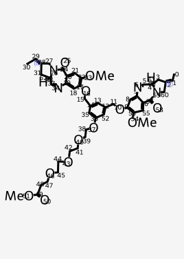 C/C=C1\C[C@H]2C=Nc3cc(OCc4cc(COc5cc6c(cc5OC)C(=O)N5C/C(=C/C)C[C@H]5C=N6)cc(OCCOCCOCCOCCC(=O)OC)c4)c(OC)cc3C(=O)N2C1